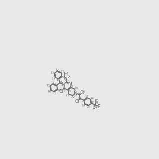 Nc1nc2c(c(=O)n1C(c1ccccc1)c1ccccc1)CCN(C(=O)C(=O)c1ccc(C(F)(F)F)cc1)C2